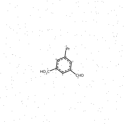 CC(C)c1cc(C=O)cc(C(=O)O)c1